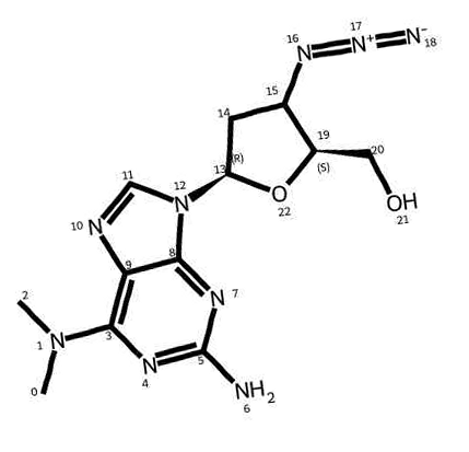 CN(C)c1nc(N)nc2c1ncn2[C@H]1CC(N=[N+]=[N-])[C@@H](CO)O1